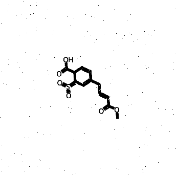 COC(=O)C=CCC1=CC(=S(=O)=O)C(C(=O)O)C=C1